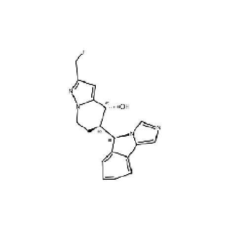 O[C@H]1c2cc(CF)nn2CC[C@@H]1[C@@H]1c2ccccc2-c2cncn21